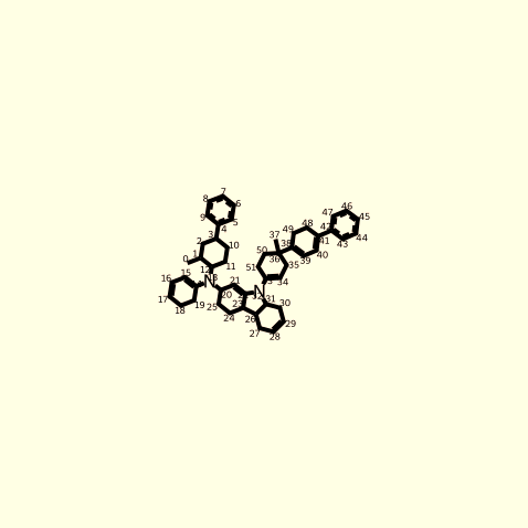 CC1CC(c2ccccc2)CCC1N(C1=CC=CCC1)C1C=C2C(CC1)C1CC=CCC1N2C1=CCC(C)(C2=CC=C(c3ccccc3)CC2)CC1